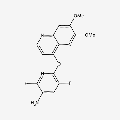 COc1cc2nccc(Oc3nc(F)c(N)cc3F)c2nc1OC